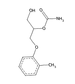 Cc1ccccc1OCC(CO)OC(N)=O